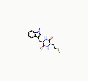 CSCC[C@H]1NC(=O)[C@@H](Cc2cn(C)c3ccccc23)NC1=O